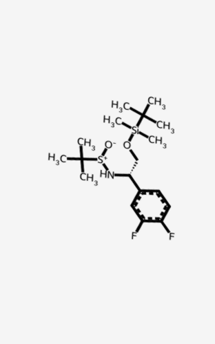 CC(C)(C)[S+]([O-])N[C@H](CO[Si](C)(C)C(C)(C)C)c1ccc(F)c(F)c1